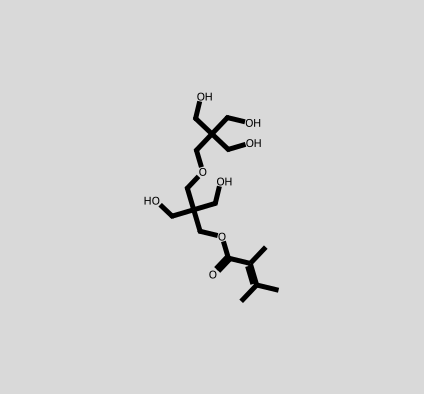 CC(C)=C(C)C(=O)OCC(CO)(CO)COCC(CO)(CO)CO